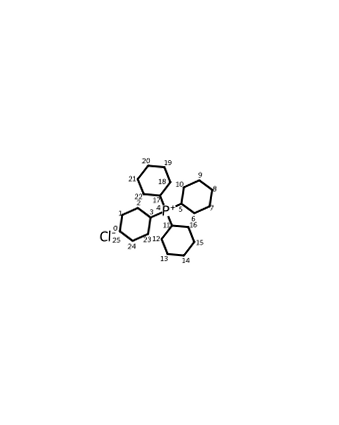 C1CCC([P+](C2CCCCC2)(C2CCCCC2)C2CCCCC2)CC1.[Cl-]